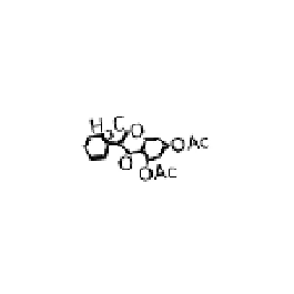 CC(=O)Oc1cc(OC(C)=O)c2c(=O)c(-c3ccccc3)c(C)oc2c1